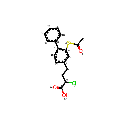 CC(=O)Sc1cc(CCC(Cl)C(=O)O)ccc1-c1ccccc1